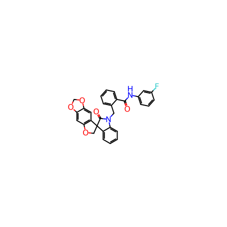 O=C(Nc1cccc(F)c1)c1ccccc1CN1C(=O)C2(COc3cc4c(cc32)OCO4)c2ccccc21